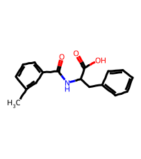 Cc1cccc(C(=O)NC(Cc2ccccc2)C(=O)O)c1